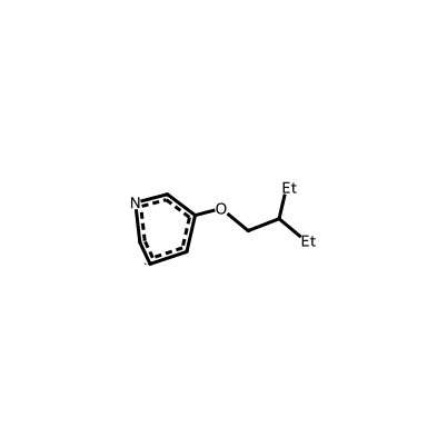 CCC(CC)COc1c[c]cnc1